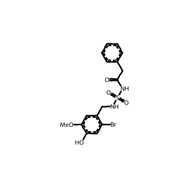 COc1cc(CNS(=O)(=O)NC(=O)Cc2ccccc2)c(Br)cc1O